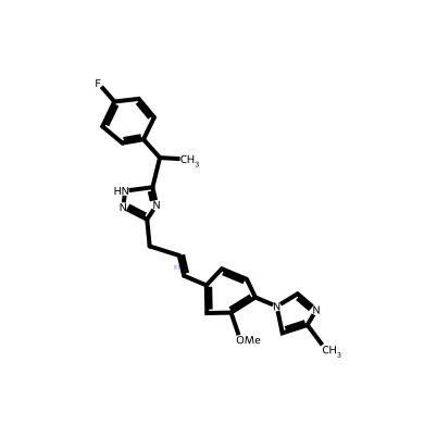 COc1cc(/C=C/Cc2n[nH]c(C(C)c3ccc(F)cc3)n2)ccc1-n1cnc(C)c1